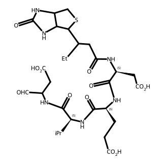 CCC(CC(=O)N[C@@H](CC(=O)O)C(=O)N[C@@H](CCC(=O)O)C(=O)N[C@H](C(=O)NC(C=O)CC(=O)O)C(C)C)C1SCC2NC(=O)NC21